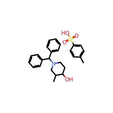 CC1CN(C(c2ccccc2)c2ccccc2)CCC1O.Cc1ccc(S(=O)(=O)O)cc1